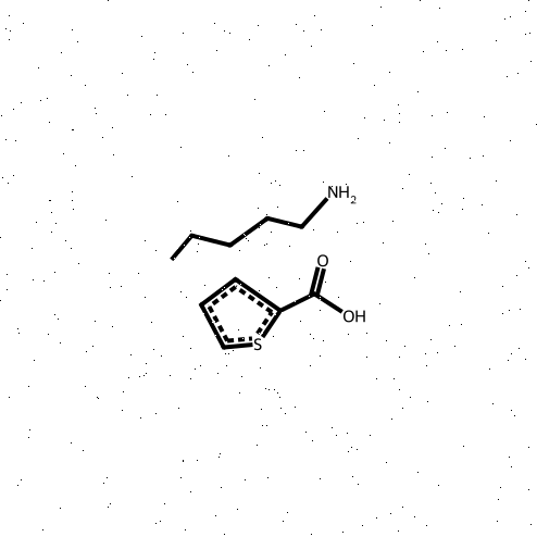 CCCCCN.O=C(O)c1cccs1